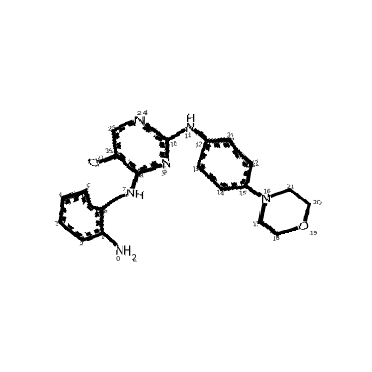 Nc1ccccc1Nc1nc(Nc2ccc(N3CCOCC3)cc2)ncc1Cl